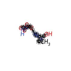 CC/C(=C(\c1ccc(O)cc1)c1ccc(N2CCN(CCCCCOc3ccc4c(c3)CN(C3CCC(=O)NC3=O)C4=O)CC2)cc1)c1ccccc1